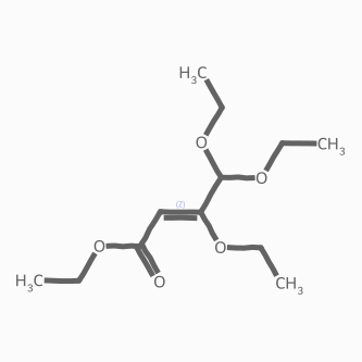 CCOC(=O)/C=C(\OCC)C(OCC)OCC